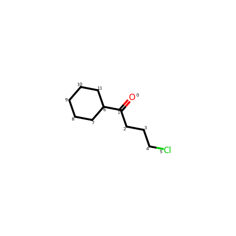 O=C(CCCCl)C1CCCCC1